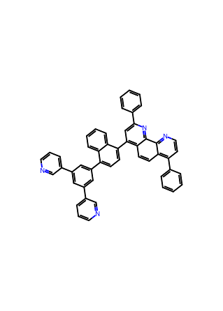 c1ccc(-c2cc(-c3ccc(-c4cc(-c5cccnc5)cc(-c5cccnc5)c4)c4ccccc34)c3ccc4c(-c5ccccc5)ccnc4c3n2)cc1